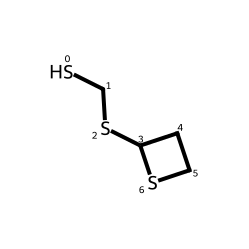 SCSC1CCS1